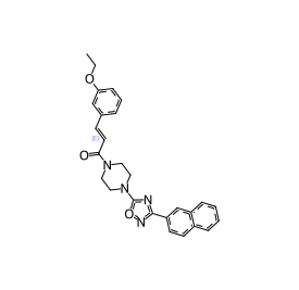 CCOc1cccc(/C=C/C(=O)N2CCN(c3nc(-c4ccc5ccccc5c4)no3)CC2)c1